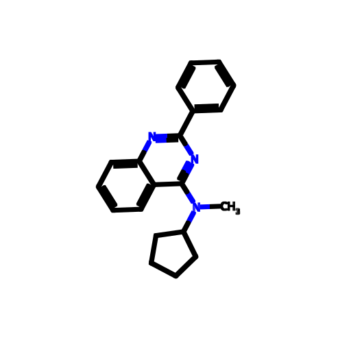 CN(c1nc(-c2ccccc2)nc2ccccc12)C1CCCC1